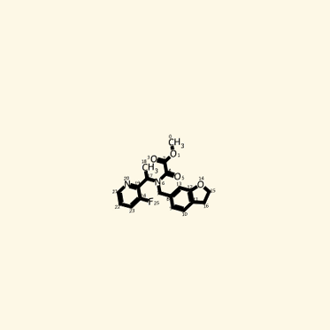 COC(=O)C(=O)N(Cc1ccc2c(c1)OCC2)C(C)c1ncccc1F